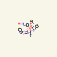 CC[C@H](C)[C@@H](C(=O)N[C@@H](Cc1ccccc1)[C@@H](O)CN(CC1CCC1)S(=O)(=O)c1ccc(C=NO)cc1)N1CC(=O)N(Cc2ccnc3ccccc23)C1=O